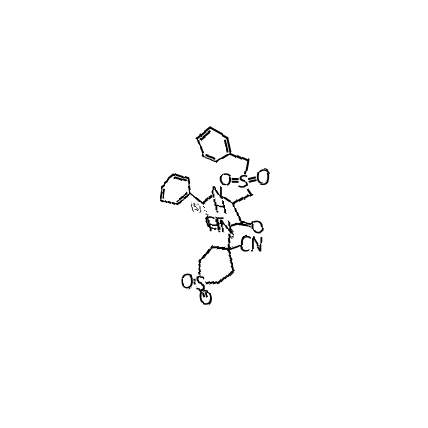 N#CC1(NC(=O)C(CS(=O)(=O)Cc2ccccc2)N[C@@H](c2ccccc2)C(F)(F)F)CCS(=O)(=O)CC1